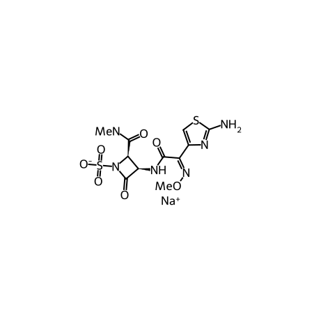 CNC(=O)[C@H]1[C@@H](NC(=O)C(=NOC)c2csc(N)n2)C(=O)N1S(=O)(=O)[O-].[Na+]